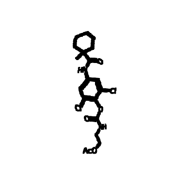 CC(=O)OCCNC(=O)Oc1c(Cl)cc(NC(=O)C2(C)CCCCC2)cc1Cl